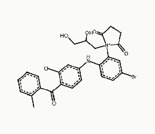 Cc1ccccc1C(=O)c1ccc(Nc2ccc(Br)cc2[N+]2(CC(O)CO)C(=O)CCC2=O)cc1Cl